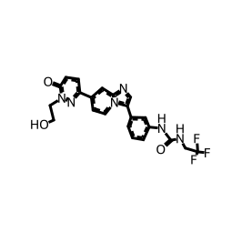 O=C(NCC(F)(F)F)Nc1cccc(-c2cnc3cc(-c4ccc(=O)n(CCO)n4)ccn23)c1